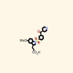 COc1ccc2c(c1)c(CCC(=O)O)cn2S(=O)(=O)c1cccc(C(=O)c2ccncc2)c1